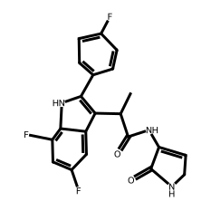 CC(C(=O)NC1=CCNC1=O)c1c(-c2ccc(F)cc2)[nH]c2c(F)cc(F)cc12